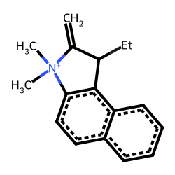 C=C1C(CC)c2c(ccc3ccccc23)[N+]1(C)C